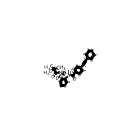 CC(C)(C)C(=O)NS(=O)(=O)c1ccccc1NC(=O)c1ccc(C#Cc2ccccc2)cc1